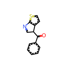 O=C(c1ccccc1)C1C=Nc2sccc21